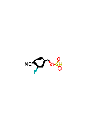 N#Cc1ccc(CO[SH](=O)=O)cc1F